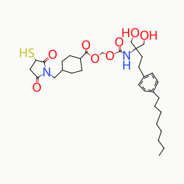 CCCCCCCCc1ccc(CCC(CO)(CO)NC(=O)OCOC(=O)C2CCC(CN3C(=O)CC(S)C3=O)CC2)cc1